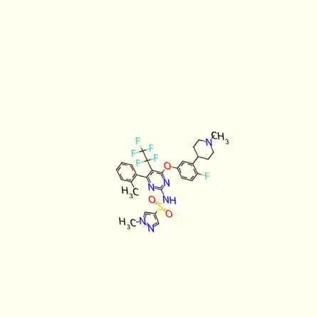 Cc1ccccc1-c1nc(NS(=O)(=O)c2cnn(C)c2)nc(Oc2ccc(F)c(C3CCN(C)CC3)c2)c1C(F)(F)C(F)(F)F